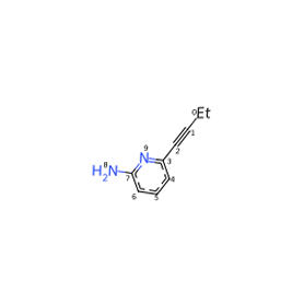 CCC#Cc1cccc(N)n1